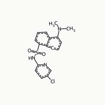 CN(C)c1cccc2c(S(=O)(=O)Nc3ccc(Cl)cn3)cccc12